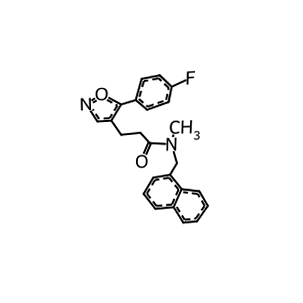 CN(Cc1cccc2ccccc12)C(=O)CCc1cnoc1-c1ccc(F)cc1